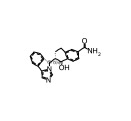 NC(=O)c1ccc2c(c1)CC[C@@H]([C@H]1c3ccccc3-c3cncn31)[C@H]2O